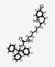 O=C(CSC(c1ccccc1)(c1ccccc1)c1ccccc1)NCCCCCCC1CCc2cc(Cl)ccc2N1